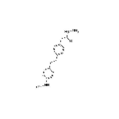 CCCNc1ccc(CCc2ccc(CC(=O)NN)cc2)cc1